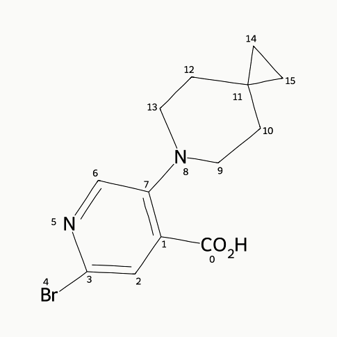 O=C(O)c1cc(Br)ncc1N1CCC2(CC1)CC2